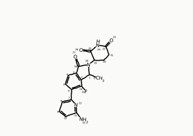 CC1c2c(ccc(-c3cccc(N)n3)c2F)C(=O)N1C1CCC(=O)NC1=O